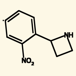 O=[N+]([O-])c1c[c]ccc1C1CCN1